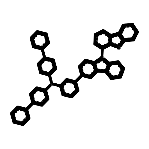 c1ccc(-c2ccc(N(c3ccc(-c4ccccc4)cc3)c3cccc(-c4ccc5c(c4)c4ccccc4n5-c4cccc5c4oc4ccccc45)c3)cc2)cc1